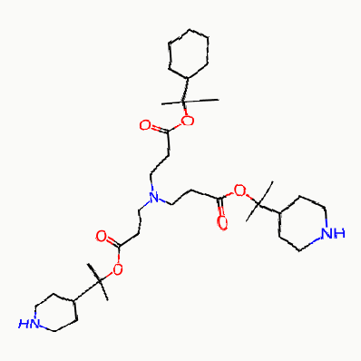 CC(C)(OC(=O)CCN(CCC(=O)OC(C)(C)C1CCNCC1)CCC(=O)OC(C)(C)C1CCNCC1)C1CCCCC1